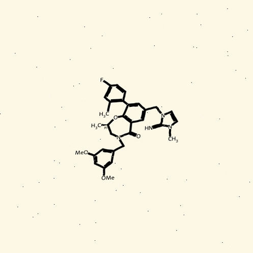 COc1cc(CN2C[C@@H](C)Oc3c(cc(Cn4ccn(C)c4=N)cc3-c3ccc(F)cc3C)C2=O)cc(OC)c1